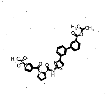 CC(C)OC(=O)c1cccc(-c2cccc(-c3csc(NC(=O)[C@@H]4CCCN4C(=O)c4ccn(S(C)(=O)=O)c4)n3)c2)c1